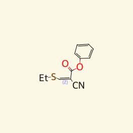 CCS/C=C(/C#N)C(=O)Oc1ccccc1